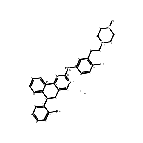 CN1CCN(CCc2cc(Nc3ncc4c(n3)-c3ccccc3C(c3ccccc3F)C4)ccc2F)CC1.Cl